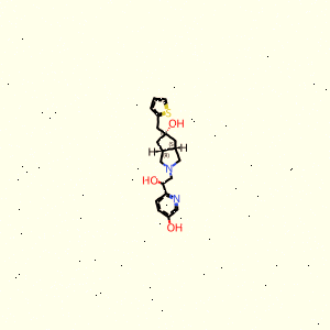 Oc1ccc(C(O)CN2C[C@@H]3C[C@@](O)(Cc4cccs4)C[C@@H]3C2)nc1